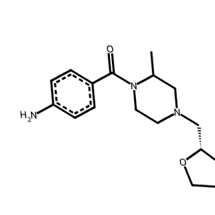 CC1CN(C[C@@H]2CCCO2)CCN1C(=O)c1ccc(N)cc1